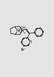 C[N+]1(C)C2CCC1CC(C=C(c1ccccc1)c1ccccn1)C2.[Br-]